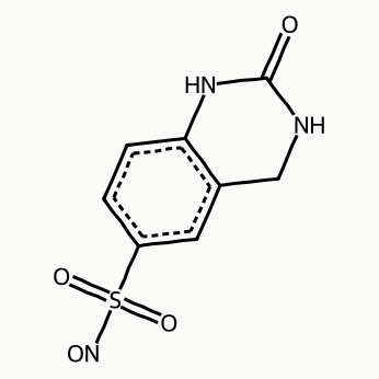 O=NS(=O)(=O)c1ccc2c(c1)CNC(=O)N2